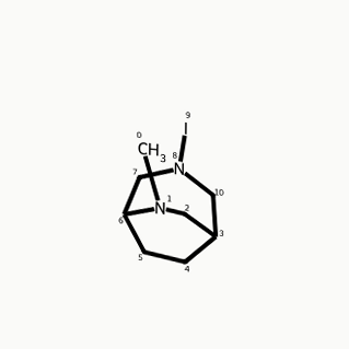 CN1CC2CCC1CN(I)C2